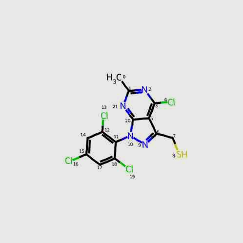 Cc1nc(Cl)c2c(CS)nn(-c3c(Cl)cc(Cl)cc3Cl)c2n1